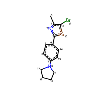 Cc1nc(-c2ccc(N3CCCC3)cc2)sc1Br